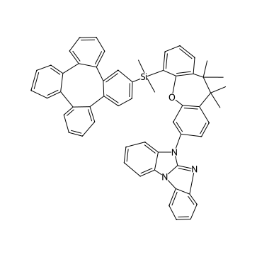 CC1(C)c2ccc(-n3c4ccccc4n4c5ccccc5nc34)cc2Oc2c(cccc2[Si](C)(C)c2ccc3c(c2)-c2ccccc2-c2ccccc2-c2ccccc2-3)C1(C)C